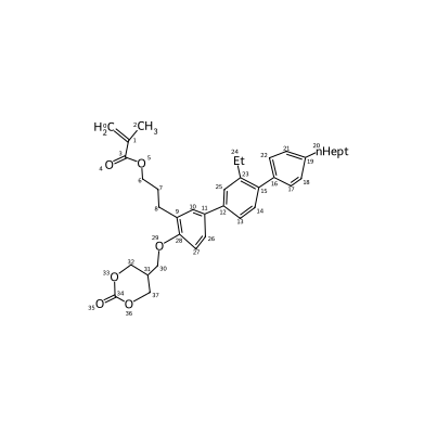 C=C(C)C(=O)OCCCc1cc(-c2ccc(-c3ccc(CCCCCCC)cc3)c(CC)c2)ccc1OCC1COC(=O)OC1